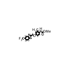 COC(=O)Nc1ccc(OCc2nc3cc(C(F)(F)F)ccc3s2)cc1C